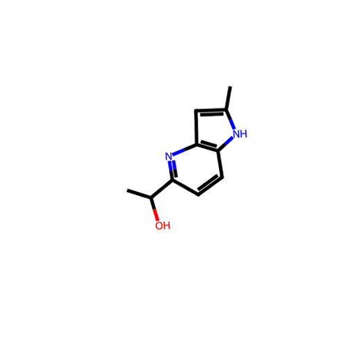 Cc1cc2nc(C(C)O)ccc2[nH]1